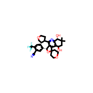 CC1(C)CC(O)c2c(nc(C3CCOCC3)c3c2C2(CCOCC2)O[C@@H]3c2ccc(C(F)(F)F)c(C#N)c2)[C@@H]1O